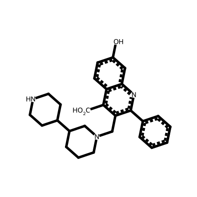 O=C(O)c1c(CN2CCCC(C3CCNCC3)C2)c(-c2ccccc2)nc2cc(O)ccc12